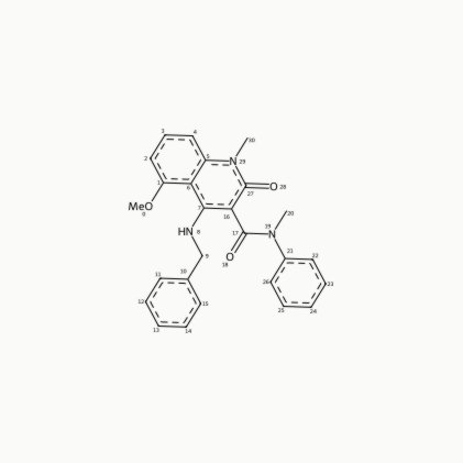 COc1cccc2c1c(NCc1ccccc1)c(C(=O)N(C)c1ccccc1)c(=O)n2C